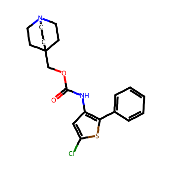 O=C(Nc1cc(Cl)sc1-c1ccccc1)OCC12CCN(CC1)CC2